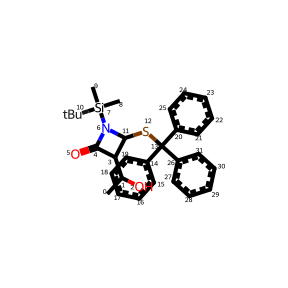 CC(O)C1C(=O)N([Si](C)(C)C(C)(C)C)C1SC(c1ccccc1)(c1ccccc1)c1ccccc1